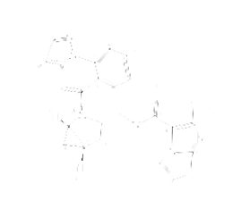 Cc1nc2sccn2c1C(=O)NC[C@@H]1C[C@@H]2C[C@@H]2N1C(=O)c1ccccc1-n1cccn1